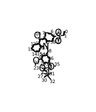 C=CS(=O)(=O)c1ccc2c(=O)c3ccccc3n(Cc3cc(OC)c(O[Si](C)(C)C(C)(C)C)c(OC)c3)c2c1